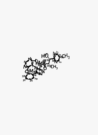 COc1ncnc(OC)c1-n1c(NS(=O)(=O)[C@@H](C)[C@H](O)c2ncc(C)cn2)nnc1-c1ccccc1